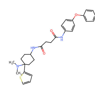 CN(C)C1(c2cccs2)CCC(NC(=O)CCC(=O)Nc2ccc(Oc3ccccc3)cc2)CC1